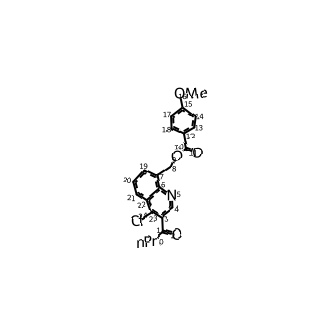 CCCC(=O)c1cnc2c(COC(=O)c3ccc(OC)cc3)cccc2c1Cl